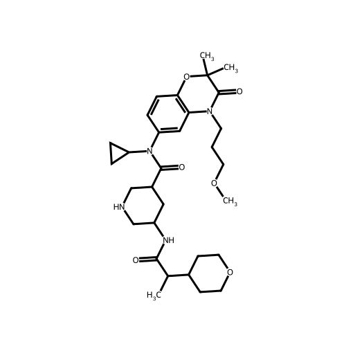 COCCCN1C(=O)C(C)(C)Oc2ccc(N(C(=O)C3CNCC(NC(=O)C(C)C4CCOCC4)C3)C3CC3)cc21